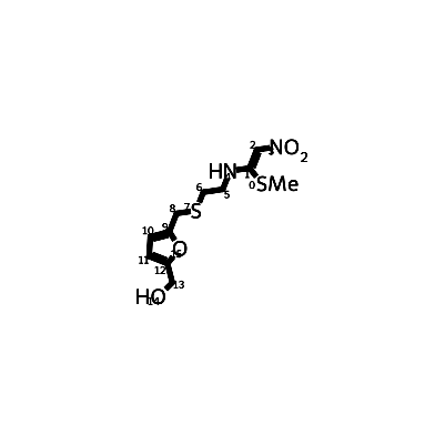 CS/C(=C\[N+](=O)[O-])NCCSCc1ccc(CO)o1